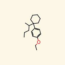 CCCC(C)C1(c2ccc(OCC)cc2)CCCCC1